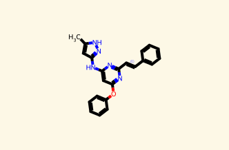 Cc1cc(Nc2cc(Oc3ccccc3)nc(/C=C/c3ccccc3)n2)n[nH]1